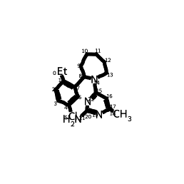 CCc1ccc(Cl)cc1C1CCCCCN1c1cc(C)nc(N)n1